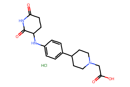 Cl.O=C(O)CN1CCC(c2ccc(NC3CCC(=O)NC3=O)cc2)CC1